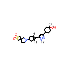 CC(C)n1nc(C2CCC(O)(C(F)(F)F)CC2)cc1C1[C@H]2CC(N3CCC4(C3)CS(=O)(=O)C4)C[C@@H]12